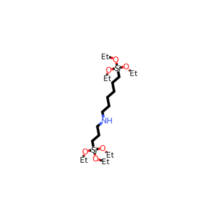 CCO[Si](CCCCCCNCCC[Si](OCC)(OCC)OCC)(OCC)OCC